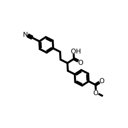 COC(=O)c1ccc(CC(CCc2ccc(C#N)cc2)C(=O)O)cc1